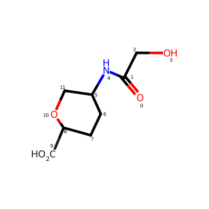 O=C(CO)NC1CCC(C(=O)O)OC1